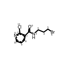 O=C(NCCCBr)c1cccnc1Cl